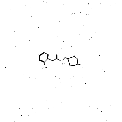 CN(C(=O)O)c1ccccc1CC(=O)NCC1CCC(C(=O)O)CC1